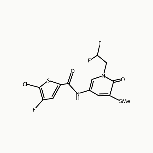 CSc1cc(NC(=O)c2cc(F)c(Cl)s2)cn(CC(F)F)c1=O